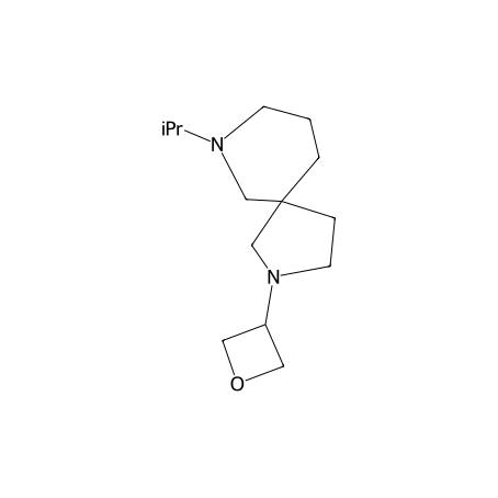 CC(C)N1CCCC2(CCN(C3COC3)C2)C1